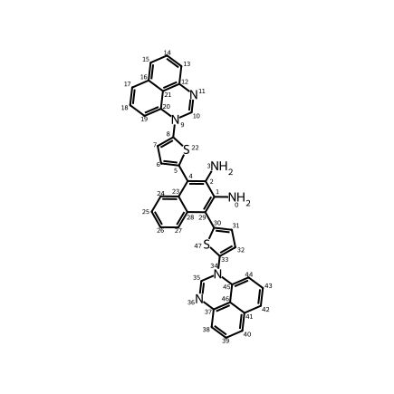 Nc1c(N)c(-c2ccc(N3C=Nc4cccc5cccc3c45)s2)c2ccccc2c1-c1ccc(N2C=Nc3cccc4cccc2c34)s1